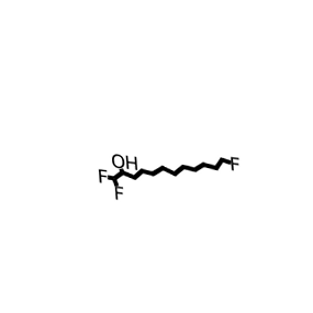 OC(CCCCCCCCCCF)C(F)F